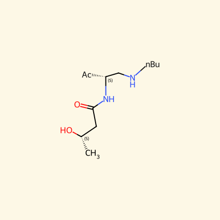 CCCCNC[C@H](NC(=O)C[C@H](C)O)C(C)=O